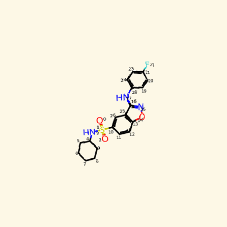 O=S(=O)(NC1CCCCC1)c1ccc2onc(Nc3ccc(F)cc3)c2c1